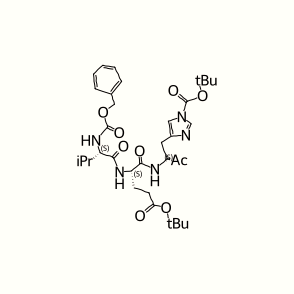 CC(=O)[C@H](Cc1cn(C(=O)OC(C)(C)C)cn1)NC(=O)[C@H](CCC(=O)OC(C)(C)C)NC(=O)[C@@H](NC(=O)OCc1ccccc1)C(C)C